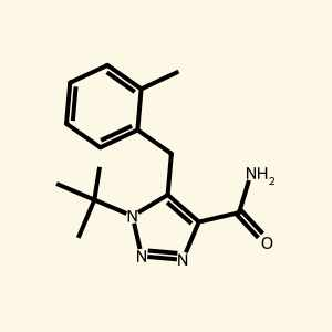 Cc1ccccc1Cc1c(C(N)=O)nnn1C(C)(C)C